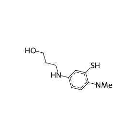 CNc1ccc(NCCCO)cc1S